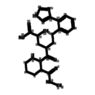 CNC(=O)C1CCCNN1C(=O)C(CCc1ccccc1-c1c[nH]cn1)CC(C)C(=O)O